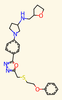 c1ccc(OCCSCc2nnc(-c3ccc(N4CCC(NCC5CCCO5)C4)cc3)o2)cc1